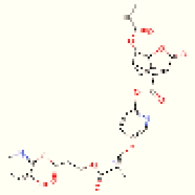 C=C(C)C(=O)OC1C2CC3C1OC(=O)C3C2C(=O)Oc1ccc(O/C=C(\C)C(=O)OCCC(=O)Oc2ncccc2O)cn1